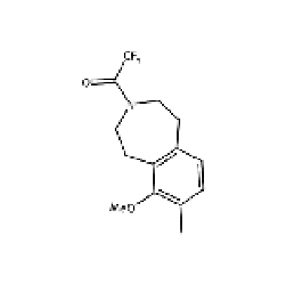 COc1c(C)ccc2c1CCN(C(=O)C(F)(F)F)CC2